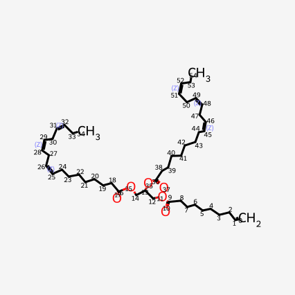 C=CCCCCCCCC(=O)OCC(COC(=O)CCCCCCC/C=C\C/C=C\C/C=C\CC)OC(=O)CCCCCCC/C=C\C/C=C\C/C=C\CC